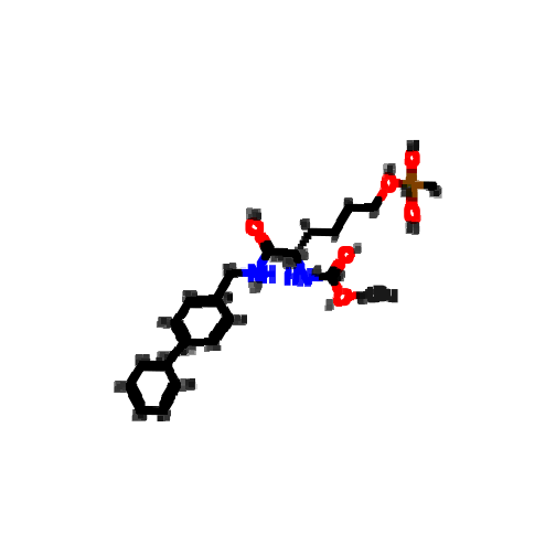 CC(C)(C)OC(=O)N[C@@H](CCCCOS(C)(=O)=O)C(=O)NCc1ccc(-c2ccccc2)cc1